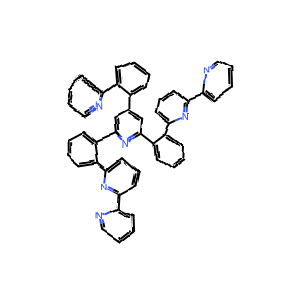 c1ccc(-c2cccc(-c3ccccc3-c3cc(-c4ccccc4-c4ccccn4)cc(-c4ccccc4-c4cccc(-c5ccccn5)n4)n3)n2)nc1